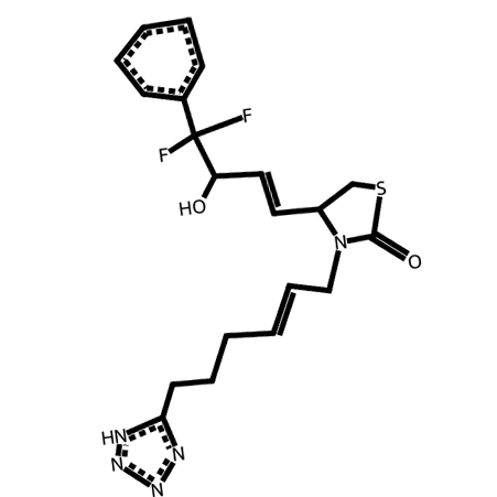 O=C1SCC(/C=C/C(O)C(F)(F)c2ccccc2)N1CC=CCCCc1nnn[nH]1